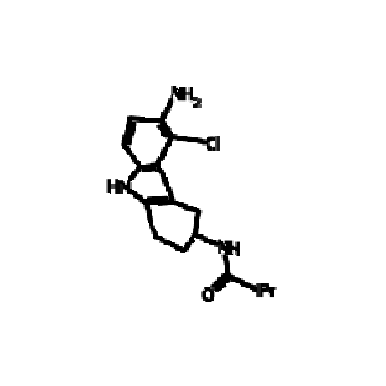 CC(C)C(=O)NC1CCc2[nH]c3ccc(N)c(Cl)c3c2C1